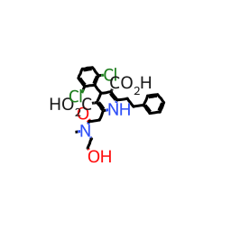 CN(CCO)C(=O)CC1=C(C(=O)O)C(c2c(Cl)cccc2Cl)C(C(=O)O)=C(CCc2ccccc2)N1